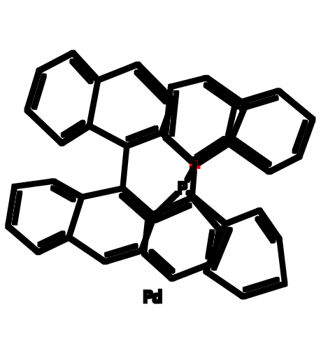 [Pd].c1ccc(P(c2ccccc2)c2ccc3ccccc3c2-c2c(P(c3ccccc3)c3ccccc3)ccc3ccccc23)cc1